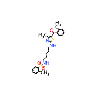 Cc1ccccc1C(=O)c1sc(NCCCCCNS(=O)(=O)c2ccccc2C)nc1C